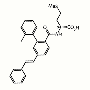 CSCC[C@H](NC(=O)c1ccc(C=Cc2ccccc2)cc1-c1ccccc1C)C(=O)O